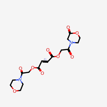 O=C(/C=C/C(=O)OCC(=O)N1CCOC(=O)C1)OCC(=O)N1CCOCC1